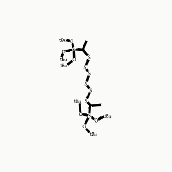 CC(SSSSSSC(C)[Si](OC(C)(C)C)(OC(C)(C)C)OC(C)(C)C)[Si](OC(C)(C)C)(OC(C)(C)C)OC(C)(C)C